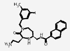 Cc1cc(I)cc(CN2CC[C@@H](CNC(=O)c3ccc4ccccc4c3)N[C@@H](CCN)C2=O)c1